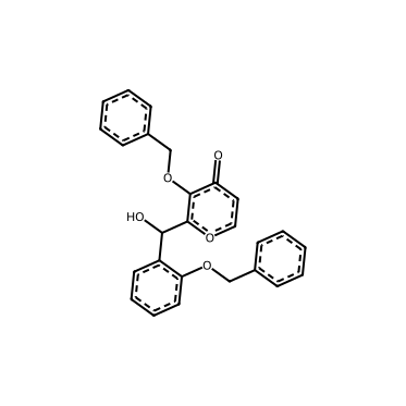 O=c1ccoc(C(O)c2ccccc2OCc2ccccc2)c1OCc1ccccc1